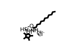 CCCCCCCCCCCC(=O)[NH][Hf+2]([C]1=C(C)C(C)=C(C)C1C)[SiH](C)C.[Cl-].[Cl-]